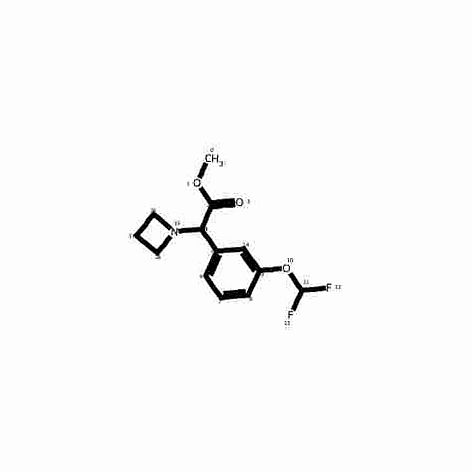 COC(=O)C(c1cccc(OC(F)F)c1)N1CCC1